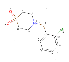 O=S1(=O)CCN(Sc2ccccc2Br)CC1